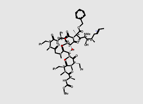 C/C=C/C[C@@H](C)[C@@H](O)[C@H](NC)C(=O)[C@](C)(C(=O)OCc1ccccc1)N(C(=O)C(N)CC)C(=O)[C@H](C)N(C)C(=O)[C@@H](NC(=O)[C@H](CC(C)C)N(C)C(=O)CN(C)C(=O)[C@H](C(C)C)N(C)C(=O)[C@H](CC(C)C)N(C)C(=O)[C@H](CC(C)C)N(C)C(=O)[C@@H](C)NC(=O)OC(C)(C)C)C(C)C